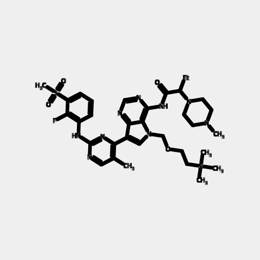 CCC(C(=O)Nc1ncnc2c(-c3nc(Nc4cccc(S(C)(=O)=O)c4F)ncc3C)cn(COCC[Si](C)(C)C)c12)N1CCN(C)CC1